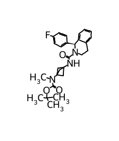 CN(C(=O)OC(C)(C)C)C12CC(NC(=O)N3CCc4ccccc4[C@@H]3c3ccc(F)cc3)(C1)C2